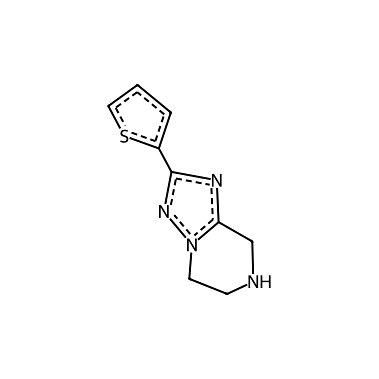 c1csc(-c2nc3n(n2)CCNC3)c1